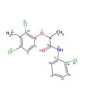 Cc1c(Cl)ccc(OC(C)C(=O)Nc2ccccc2Cl)c1Cl